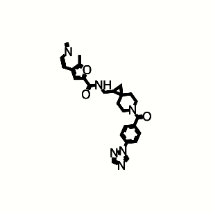 C=N/C=C\c1cc(C(=O)NCC2CC23CCN(C(=O)c2ccc(-n4cncn4)cc2)CC3)oc1C